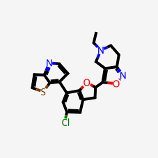 CCN1CCc2noc(C3Cc4cc(Cl)cc(-c5ccnc6ccsc56)c4O3)c2C1